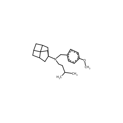 COc1ccc(CN(CCC(C)C)C23CC4CC5CC(C2)C54C3)cc1